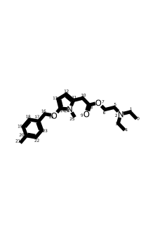 CCN(CC)CCOC(=O)Cc1ccc(OCc2ccc(C)cc2)n1C